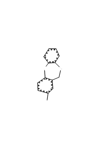 Fc1ccc2c(c1)CNc1ccccc1O2